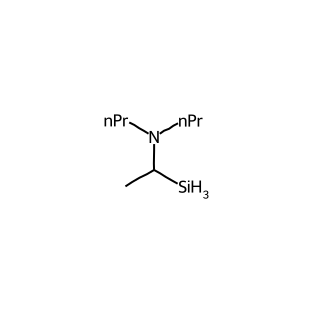 CCCN(CCC)C(C)[SiH3]